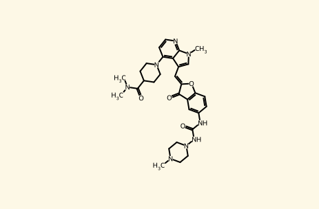 CN1CCN(NC(=O)Nc2ccc3c(c2)C(=O)C(=Cc2cn(C)c4nccc(N5CCC(C(=O)N(C)C)CC5)c24)O3)CC1